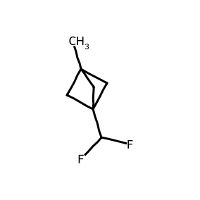 CC12CC(C(F)F)(C1)C2